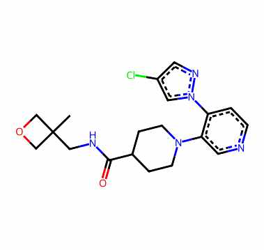 CC1(CNC(=O)C2CCN(c3cnccc3-n3cc(Cl)cn3)CC2)COC1